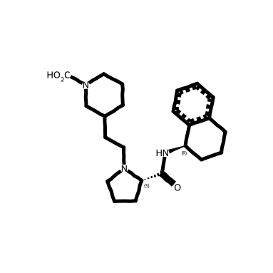 O=C(N[C@@H]1CCCc2ccccc21)[C@@H]1CCCN1CCC1CCCN(C(=O)O)C1